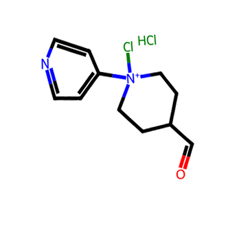 Cl.O=CC1CC[N+](Cl)(c2ccncc2)CC1